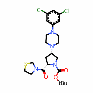 CC(C)(C)OC(=O)N1C[C@@H](N2CCN(c3cc(Cl)cc(Cl)c3)CC2)C[C@H]1C(=O)N1CCSC1